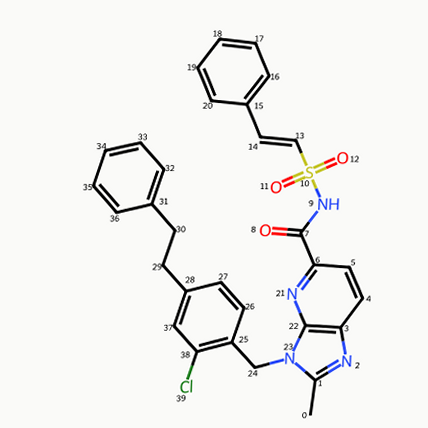 Cc1nc2ccc(C(=O)NS(=O)(=O)C=Cc3ccccc3)nc2n1Cc1ccc(CCc2ccccc2)cc1Cl